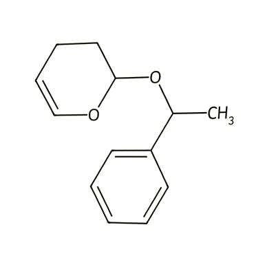 CC(OC1CCC=CO1)c1ccccc1